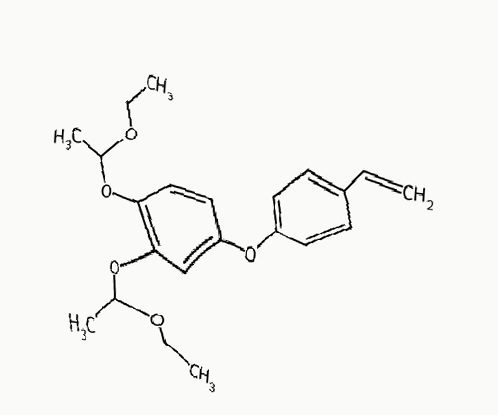 C=Cc1ccc(Oc2ccc(OC(C)OCC)c(OC(C)OCC)c2)cc1